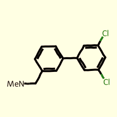 CNCc1cccc(-c2cc(Cl)cc(Cl)c2)c1